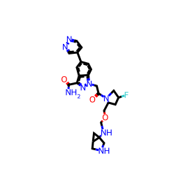 NC(=O)c1nn(CC(=O)N2CC(F)CC2COCNC23CNCC2C3)c2ccc(-c3ccnnc3)cc12